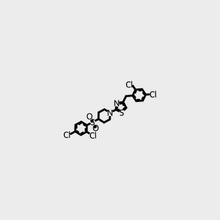 O=S(=O)(c1ccc(Cl)cc1Cl)C1CCN(c2nc(Cc3ccc(Cl)cc3Cl)cs2)CC1